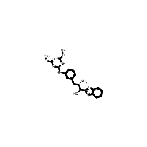 CC(C)(C)OC(=O)/N=C(\NC(=O)OC(C)(C)C)Nc1cccc(C[C@H](N)C(O)c2nc3ccccc3o2)c1